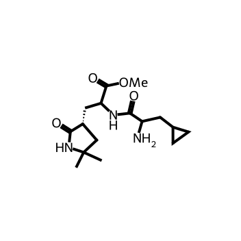 COC(=O)C(C[C@@H]1CC(C)(C)NC1=O)NC(=O)C(N)CC1CC1